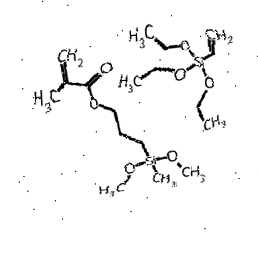 C=C(C)C(=O)OCCC[Si](C)(OC)OC.C=C[Si](OCC)(OCC)OCC